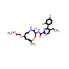 CCc1cnc(C(=O)NC2CO/C(C)=C/C=C(OCCOC)\C=C\NC2=O)nc1-c1ccc(F)cc1F